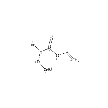 C=COC(=O)C(OC=O)C(C)=O